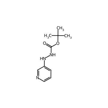 CC(C)(C)OC(=O)NNc1cccnc1